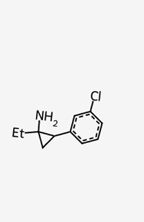 CCC1(N)CC1c1cccc(Cl)c1